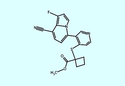 COC(=O)C1(Sc2ccncc2-c2ccc(C#N)c3c(F)ccn23)CCC1